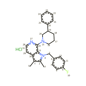 Cc1c(C)n(Cc2ccc(F)cc2)c2c(N3CCCC(c4ccccc4)C3)nccc12.Cl